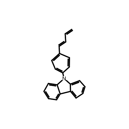 C=C/C=C/c1ccc(-n2c3ccccc3c3ccccc32)cc1